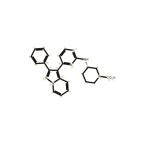 O=C(O)N1CCC[C@H](Nc2nccc(-c3c(-c4ccccc4)nn4ccccc34)n2)C1